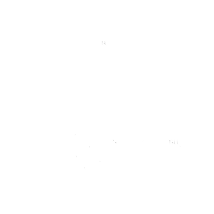 CC1(C)ON(c2cc(N)ccc2Oc2ccc(C#N)cc2)SC1(C)C